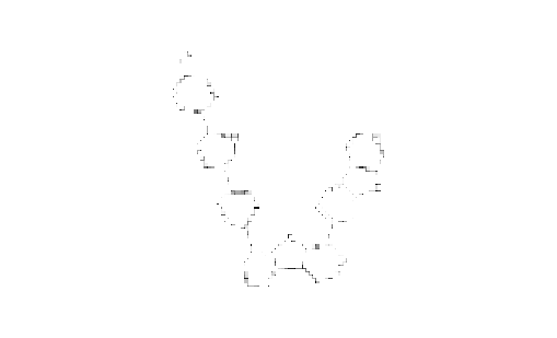 N#Cc1ccc(-c2ccc(-c3ccc(-c4cccc5c4sc4c(-c6ccc7c(c6)oc6cnccc67)cccc45)cc3)cn2)cc1